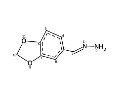 N/N=C/c1ccc2c(c1)OCO2